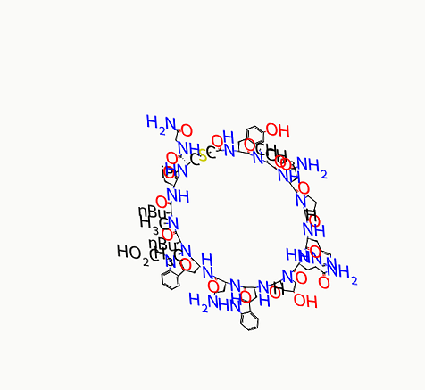 CCCC[C@H]1C(=O)N(C)[C@@H](CCCC)C(=O)N[C@@H](CC(C)C)C(=O)N[C@H](C(=O)NCC(N)=O)CSCC(=O)N[C@@H](Cc2ccc(O)cc2)C(=O)N(C)[C@@H](C)C(=O)N[C@@H](CC(N)=O)C(=O)N2CCC[C@H]2C(=O)N[C@@H](Cc2cnc[nH]2)C(=O)N[C@@H](CCC(N)=O)C(=O)N2C[C@H](O)C[C@H]2C(=O)N[C@@H](Cc2c[nH]c3ccccc23)C(=O)N[C@@H](CCN)C(=O)N[C@@H](Cc2cn(CC(=O)O)c3ccccc23)C(=O)N1C